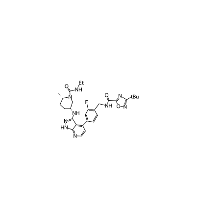 CCNC(=O)N1C[C@H](Nc2n[nH]c3nccc(-c4ccc(CNC(=O)c5nc(C(C)(C)C)no5)c(F)c4)c23)CC[C@@H]1C